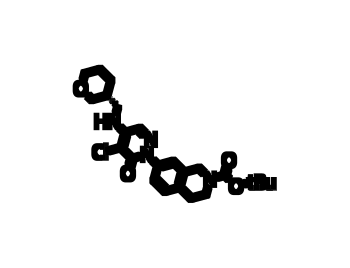 CC(C)(C)OC(=O)N1CCc2ccc(-n3ncc(NC[C@H]4CCCOC4)c(Cl)c3=O)cc2C1